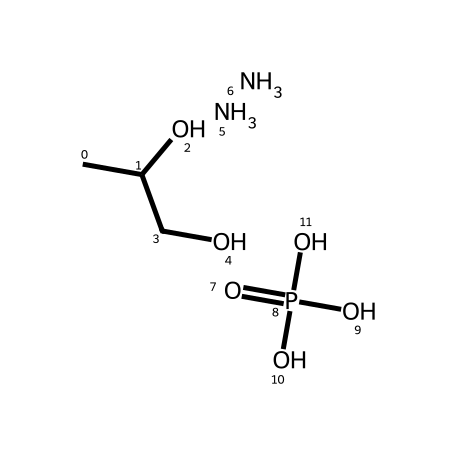 CC(O)CO.N.N.O=P(O)(O)O